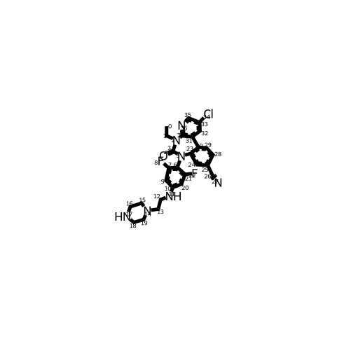 CCN1C(=O)N(c2c(F)cc(NCCN3CCNCC3)cc2F)c2cc(C#N)ccc2-c2cc(Cl)cnc21